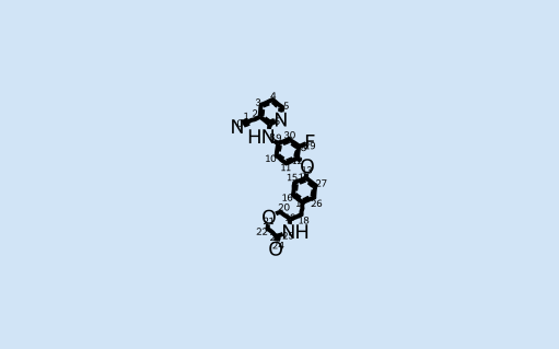 N#Cc1cccnc1Nc1ccc(Oc2ccc(CC3COCC(=O)N3)cc2)c(F)c1